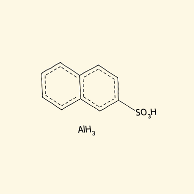 O=S(=O)(O)c1ccc2ccccc2c1.[AlH3]